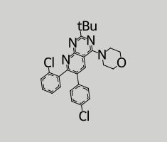 CC(C)(C)c1nc(N2CCOCC2)c2cc(-c3ccc(Cl)cc3)c(-c3ccccc3Cl)nc2n1